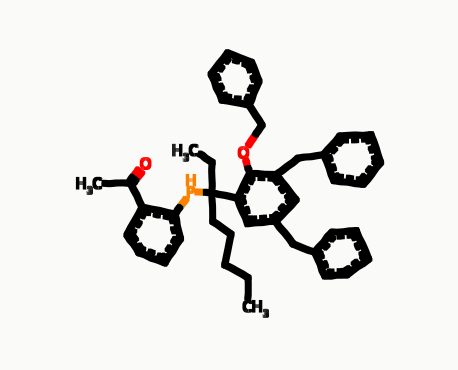 CCCCCC(CC)(Pc1ccccc1C(C)=O)c1cc(Cc2ccccc2)cc(Cc2ccccc2)c1OCc1ccccc1